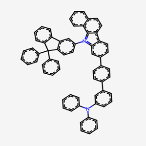 c1ccc(N(c2ccccc2)c2cccc(-c3ccc(-c4ccc5c6ccc7ccccc7c6n(-c6ccc7c(c6)-c6ccccc6C7(c6ccccc6)c6ccccc6)c5c4)cc3)c2)cc1